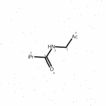 CC(=O)CNC(=O)C(C)C